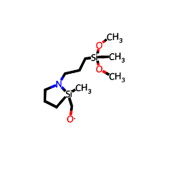 CO[Si](C)(CCCN1CCC[Si]1(C)C[O])OC